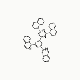 c1ccc2cc(-c3cc(-c4nc(-c5cccc6ccccc56)nc(-c5cccc6ccccc56)n4)cc(-c4nccc5ccccc45)c3)ncc2c1